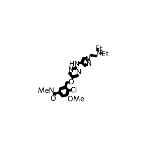 CCN(CC)CCn1cc(Nc2ncc(OCc3cc(C(=O)NC)cc(OC)c3Cl)cn2)cn1